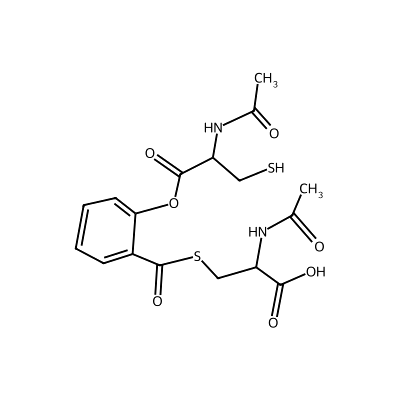 CC(=O)NC(CSC(=O)c1ccccc1OC(=O)C(CS)NC(C)=O)C(=O)O